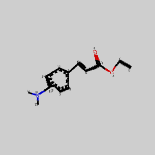 CCOC(=O)C=Cc1ccc(N(C)C)cc1